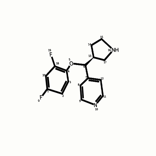 Fc1ccc(OC(c2ccncc2)[C@H]2CCNC2)c(F)c1